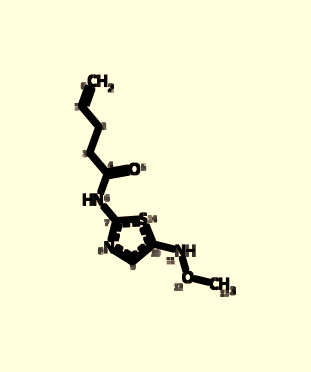 C=CCCC(=O)Nc1ncc(NOC)s1